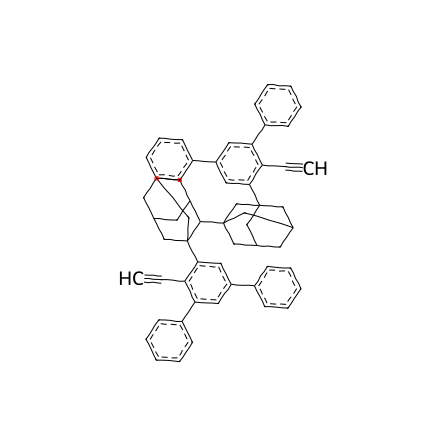 C#Cc1c(-c2ccccc2)cc(-c2ccccc2)cc1C12CC3CC(C1)CC(C1C4CC5CC(C4)CC1(c1cc(-c4ccccc4)cc(-c4ccccc4)c1C#C)C5)(C3)C2